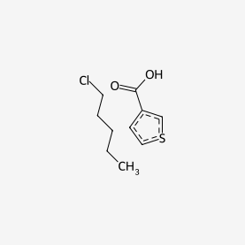 CCCCCCl.O=C(O)c1ccsc1